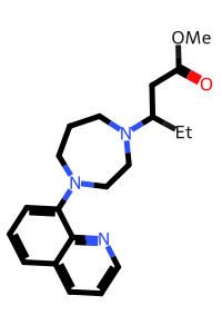 CCC(CC(=O)OC)N1CCCN(c2cccc3cccnc23)CC1